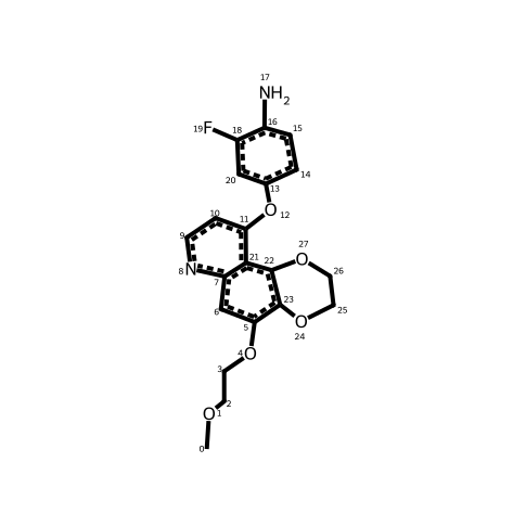 COCCOc1cc2nccc(Oc3ccc(N)c(F)c3)c2c2c1OCCO2